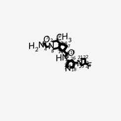 C[C@H]1CN(CC(N)=O)Cc2cc(C(=O)Nc3cncc(N4CCC(F)C4)c3)ccc21